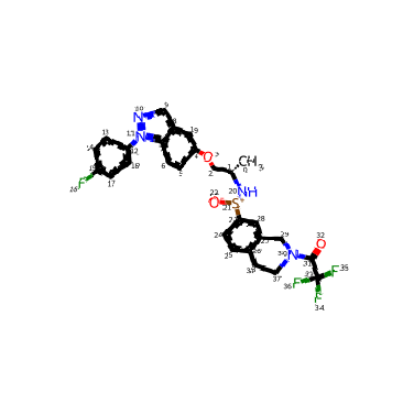 C[C@@H](COc1ccc2c(cnn2-c2ccc(F)cc2)c1)N[S+]([O-])c1ccc2c(c1)CN(C(=O)C(F)(F)F)CC2